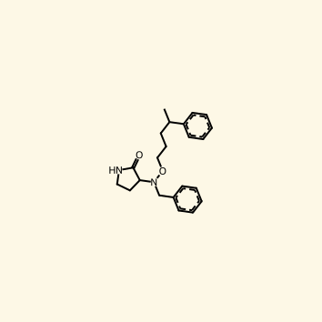 CC(CCCON(Cc1ccccc1)C1CCNC1=O)c1ccccc1